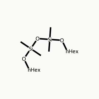 CCCCCCO[Si](C)(C)O[Si](C)(C)OCCCCCC